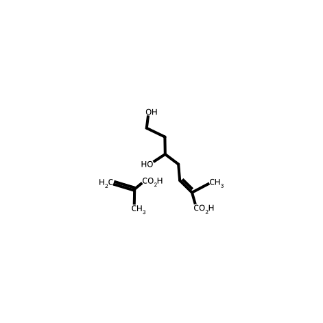 C=C(C)C(=O)O.CC(=CCC(O)CCO)C(=O)O